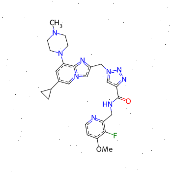 COc1ccnc(CNC(=O)c2cn(Cc3cn4cc(C5CC5)cc(N5CCN(C)CC5)c4n3)nn2)c1F